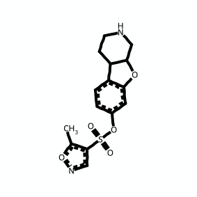 Cc1oncc1S(=O)(=O)Oc1ccc2c(c1)OC1CNCCC21